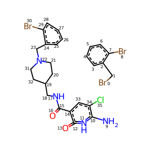 BrCc1ccccc1Br.Nc1[nH]c(=O)c(C(=O)NCC2CCN(Cc3ccccc3Br)CC2)cc1Cl